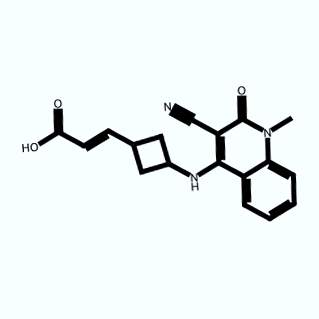 Cn1c(=O)c(C#N)c(NC2CC(C=CC(=O)O)C2)c2ccccc21